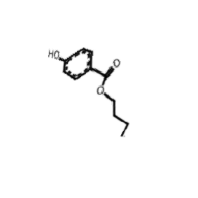 [CH2]CCCOC(=O)c1ccc(O)cc1